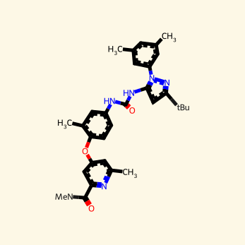 CNC(=O)c1cc(Oc2ccc(NC(=O)Nc3cc(C(C)(C)C)nn3-c3cc(C)cc(C)c3)cc2C)cc(C)n1